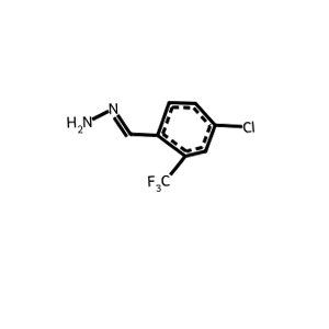 NN=Cc1ccc(Cl)cc1C(F)(F)F